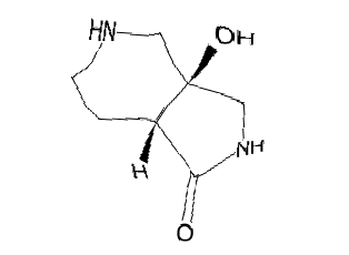 O=C1NC[C@@]2(O)CNCC[C@@H]12